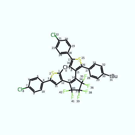 Cc1sc(-c2ccc(Cl)cc2)cc1C1=C(c2cc(-c3ccc(Cl)cc3)sc2-c2ccc(C(C)(C)C)cc2)C(F)(F)C(F)(F)C1(F)F